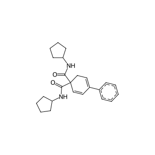 O=C(NC1CCCC1)C1(C(=O)NC2CCCC2)C=CC(c2ccccc2)=CC1